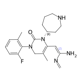 C=N/C(N)=C\C1=C(C)CN(c2c(C)cccc2F)C(=O)N1[C@@H]1CCCNCC1